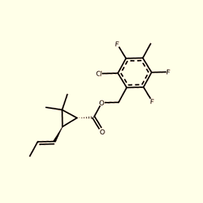 CC=C[C@@H]1[C@@H](C(=O)OCc2c(F)c(F)c(C)c(F)c2Cl)C1(C)C